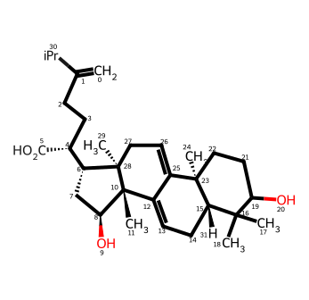 C=C(CC[C@@H](C(=O)O)[C@H]1C[C@H](O)[C@@]2(C)C3=CC[C@H]4C(C)(C)C(O)CC[C@]4(C)C3=CC[C@]12C)C(C)C